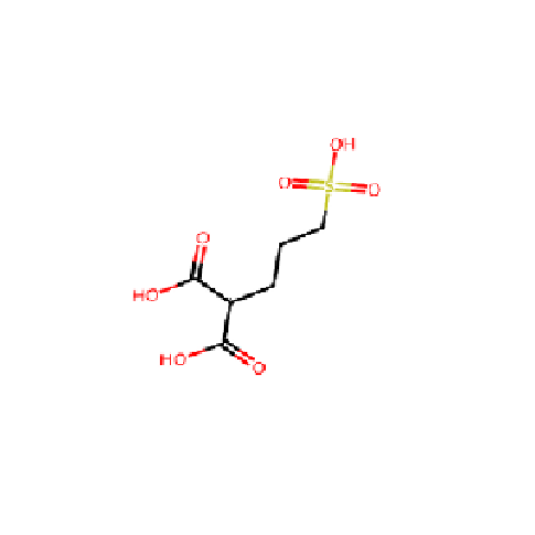 O=C(O)[C](CCCS(=O)(=O)O)C(=O)O